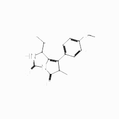 CCC1NC(=O)N2C(=O)C(C)C(c3ccc(SC)cc3)=C12